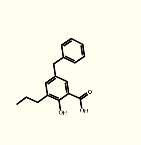 CCCc1cc(Cc2ccccc2)cc(C(=O)O)c1O